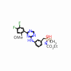 CCOC(=O)N=[SH](C)(O)Cc1cccc(Nc2ncnc(-c3cc(F)c(F)cc3OC)n2)c1